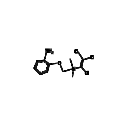 C[Si](C)(COc1ccccc1N)C(Cl)=C(Cl)Cl